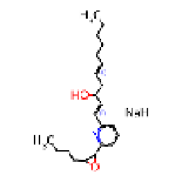 CCCCC/C=C/CC(O)/C=C/c1cccc(C2OC2CCCC)n1.[NaH]